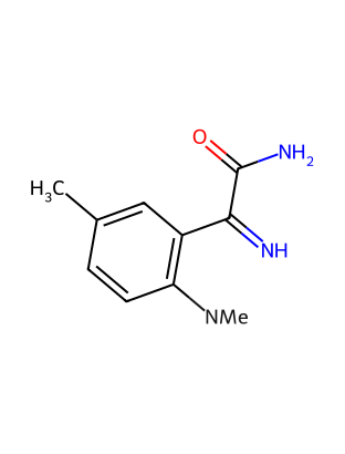 CNc1ccc(C)cc1C(=N)C(N)=O